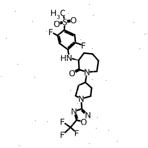 CS(=O)(=O)c1cc(F)c(N[C@H]2CCCCN(C3CCN(c4noc(C(F)(F)F)n4)CC3)C2=O)cc1F